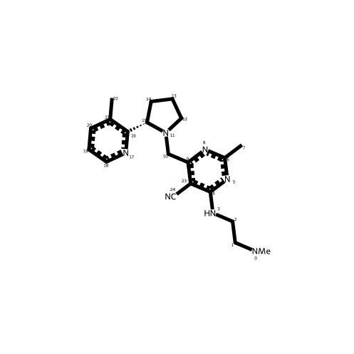 CNCCNc1nc(C)nc(CN2CCC[C@H]2c2ncccc2C)c1C#N